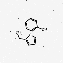 NCc1ccco1.Oc1ccccc1